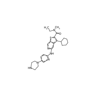 CCN(C)C(=O)c1sc2cnc(Nc3ccc(N4CCNCC4)cn3)cc2c1C1CCCCC1